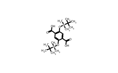 CC(C)(C)[Si](C)(C)Oc1cc(C(=O)O)c(O[Si](C)(C)C(C)(C)C)cc1C(=O)O